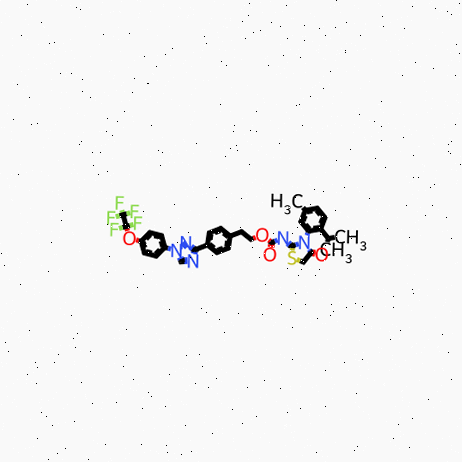 Cc1ccc(C(C)C)c(N2C(=O)CS/C2=N\C(=O)OCCc2ccc(-c3ncn(-c4ccc(OC(F)(F)C(F)(F)F)cc4)n3)cc2)c1